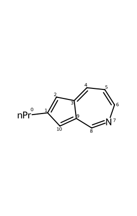 CCCc1cc2cccncc-2c1